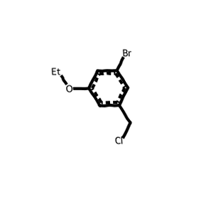 CCOc1cc(Br)cc(CCl)c1